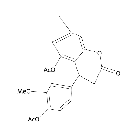 COc1cc(C2CC(=O)Oc3cc(C)cc(OC(C)=O)c32)ccc1OC(C)=O